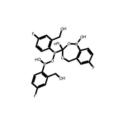 CCCC1(B(OB(O)c2ccc(F)cc2CO)c2ccc(F)cc2CO)OCc2cc(F)ccc2B(O)O1